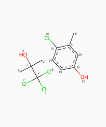 CC(C)(O)C(Cl)(Cl)Cl.Cc1cc(O)ccc1Cl